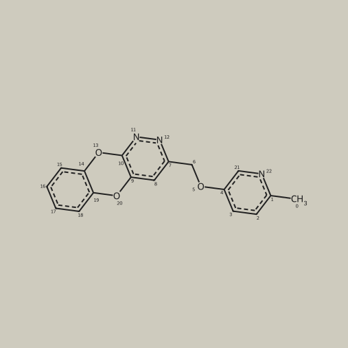 Cc1ccc(OCc2cc3c(nn2)Oc2ccccc2O3)cn1